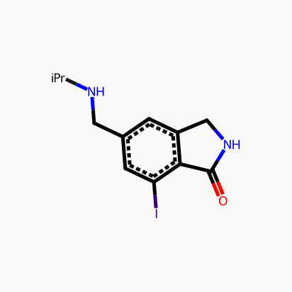 CC(C)NCc1cc(I)c2c(c1)CNC2=O